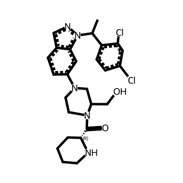 CC(c1ccc(Cl)cc1Cl)n1ncc2ccc(N3CCN(C(=O)[C@H]4CCCCN4)C(CO)C3)cc21